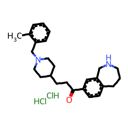 Cc1ccccc1CN1CCC(CCC(=O)c2ccc3c(c2)CNCCC3)CC1.Cl.Cl